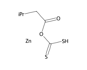 CC(C)CC(=O)OC(=S)S.[Zn]